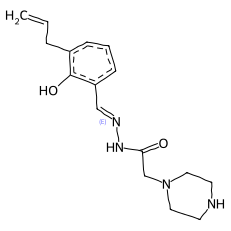 C=CCc1cccc(/C=N/NC(=O)CN2CCNCC2)c1O